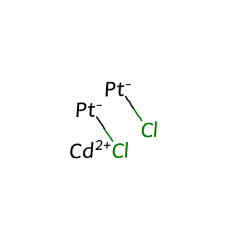 [Cd+2].[Cl][Pt-].[Cl][Pt-]